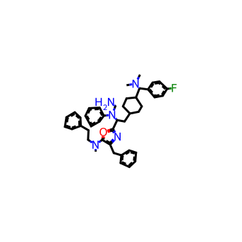 CN(CCc1ccccc1)c1oc(C(CC2CCC(C(c3ccc(F)cc3)N(C)C)CC2)N(CN)c2ccccc2)nc1Cc1ccccc1